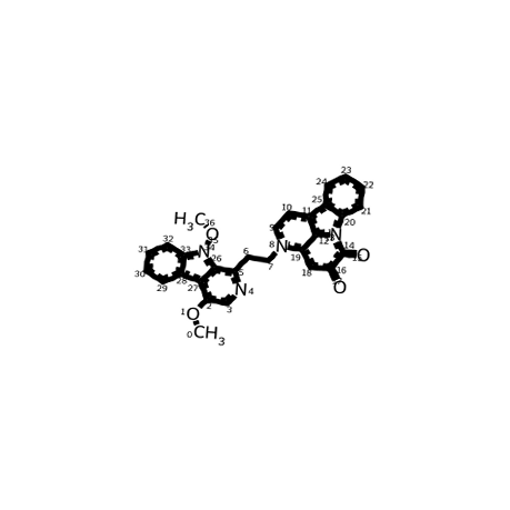 COc1cnc(CCn2ccc3c4n(c(=O)c(=O)cc2-4)c2ccccc32)c2c1c1ccccc1n2OC